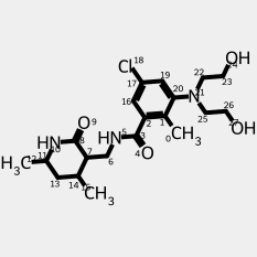 Cc1c(C(=O)NCC2C(=O)NC(C)CC2C)cc(Cl)cc1N(CCO)CCO